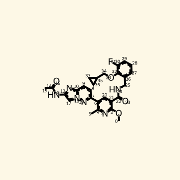 COc1nc(C)c(-c2ccc3nc(NC(C)=O)cn3n2)cc1C(=O)NCc1cccc(F)c1OCC1CC1